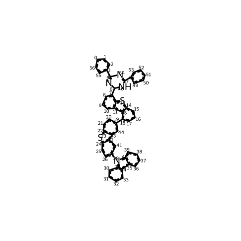 c1ccc(C2=NC(c3cccc4c3sc3cccc(-c5ccc6sc7ccc(-n8c9ccccc9c9ccccc98)cc7c6c5)c34)NC(c3ccccc3)=N2)cc1